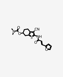 CN(C)C(=O)OC1CCc2c(sc(NC(=O)C=Cc3ccco3)c2C#N)C1